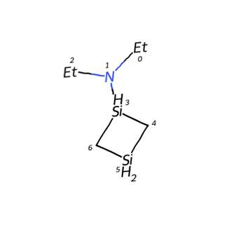 CCN(CC)[SiH]1C[SiH2]C1